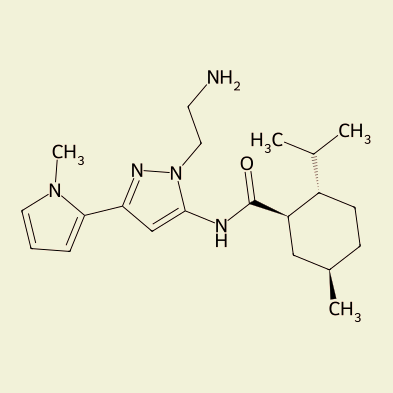 CC(C)[C@@H]1CC[C@@H](C)C[C@H]1C(=O)Nc1cc(-c2cccn2C)nn1CCN